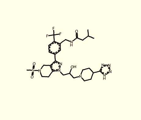 CC(C)CC(=O)NCc1cc(-c2nn(CC(O)CN3CCC(c4nnn[nH]4)CC3)c3c2CN(S(C)(=O)=O)CC3)ccc1C(F)(F)F